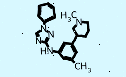 Cc1cc(Nc2ncn(-c3ccccc3)n2)cc(C2CCCN(C)C2)c1